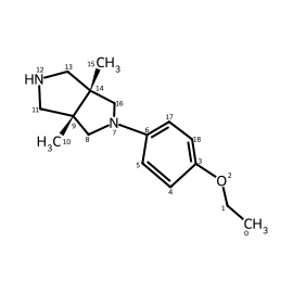 CCOc1ccc(N2C[C@]3(C)CNC[C@]3(C)C2)cc1